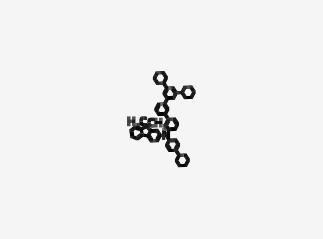 CC1(C)c2ccccc2-c2ccc(N(c3ccc(C4CCCCC4)cc3)c3cccc(-c4cccc(-c5cc(C6CCCCC6)cc(C6CCCCC6)c5)c4)c3)cc21